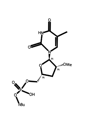 CCCCOP(=O)(O)OC[C@H]1C[C@@H](OC)[C@H](n2cc(C)c(=O)[nH]c2=O)O1